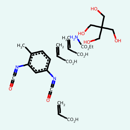 C=CC(=O)O.C=CC(=O)O.C=CC(=O)O.CCOC(N)=O.Cc1ccc(N=C=O)cc1N=C=O.OCC(CO)(CO)CO